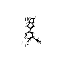 Cc1ncc(C2=CC3CNC3C2)cc1C#N